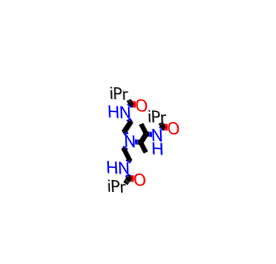 CC(C)C(=O)NCCN(CCNC(=O)C(C)C)C(C)C(C)NC(=O)C(C)C